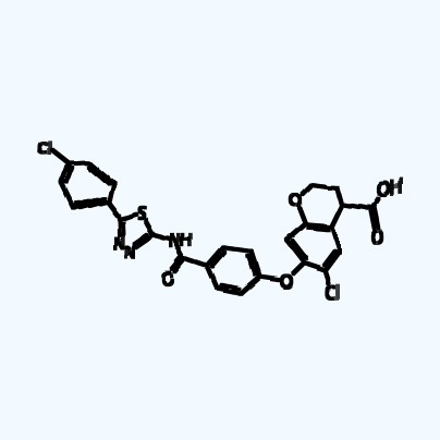 O=C(Nc1nnc(-c2ccc(Cl)cc2)s1)c1ccc(Oc2cc3c(cc2Cl)C(C(=O)O)CCO3)cc1